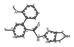 COc1ccccc1-c1cc(C)ncc1C(=O)Nc1nc2c(s1)CNC2